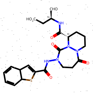 O=C[C@H](CC(=O)O)NC(=O)[C@@H]1CCCN2C(=O)CCN(NC(=O)C3=CC4C=CC=CC4S3)C(=O)N12